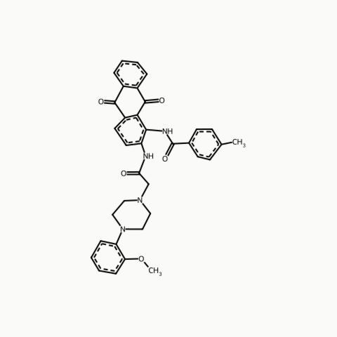 COc1ccccc1N1CCN(CC(=O)Nc2ccc3c(c2NC(=O)c2ccc(C)cc2)C(=O)c2ccccc2C3=O)CC1